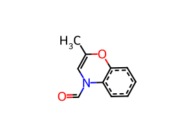 CC1=CN(C=O)c2ccccc2O1